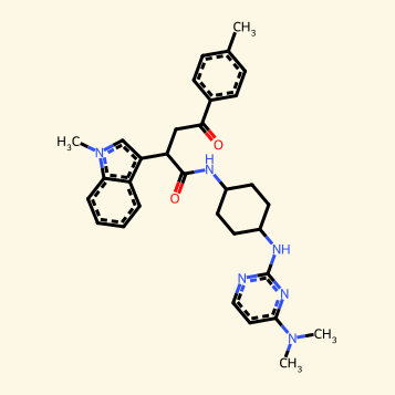 Cc1ccc(C(=O)CC(C(=O)NC2CCC(Nc3nccc(N(C)C)n3)CC2)c2cn(C)c3ccccc23)cc1